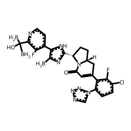 Bc1nc([C@@H]2CC[C@@H]3CC(c4c(-n5cnnn5)ccc(Cl)c4F)=CC(=O)N32)[nH]c1-c1ccnc(C(B)(B)O)c1F